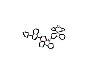 c1ccc(-c2ccccc2N(c2ccc(-c3ccc(-c4ccccc4)c4ccccc34)cc2)c2ccc3c(c2)-c2ccccc2C32c3ccccc3Oc3ccccc32)cc1